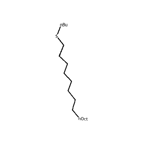 [CH2]CCCCCCCCCCCCCCCSCCCC